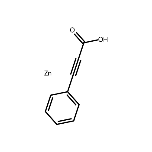 O=C(O)C#Cc1ccccc1.[Zn]